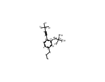 CCCc1ccc(C#CC(C)(C)C)c(SC(F)(F)F)c1